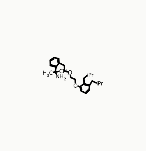 CC(C)Cc1cccc(OCCOCCc2ccccc2C(C)(C)N)c1CC(C)C